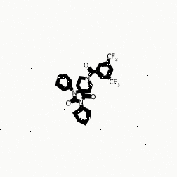 O=C(c1cc(C(F)(F)F)cc(C(F)(F)F)c1)N1CCC2(CC1)C(=O)N(c1ccccc1)C(=O)N2c1ccccc1